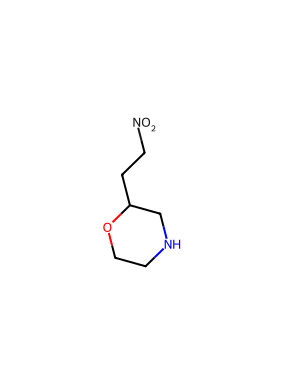 O=[N+]([O-])CCC1CNCCO1